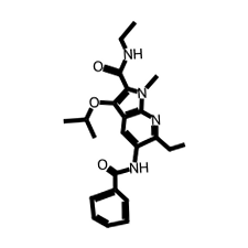 CCNC(=O)c1c(OC(C)C)c2cc(NC(=O)c3ccccc3)c(CC)nc2n1C